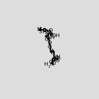 Cc1ncsc1-c1ccc(CNC(=O)[C@@H]2C[C@@H](O)CN2C(=O)[C@@H](NC(=O)CCOCCOCCN2CCN(CCNc3ccc(S(N)(=O)=O)cc3[N+](=O)[O-])CC2)C(C)(C)C)cc1